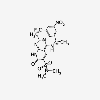 Cc1nc(N[C@H](C)c2cc([N+](=O)[O-])cc(C(F)(F)F)c2)c2cc(S(=O)(=O)N(C)C)c(=O)[nH]c2n1